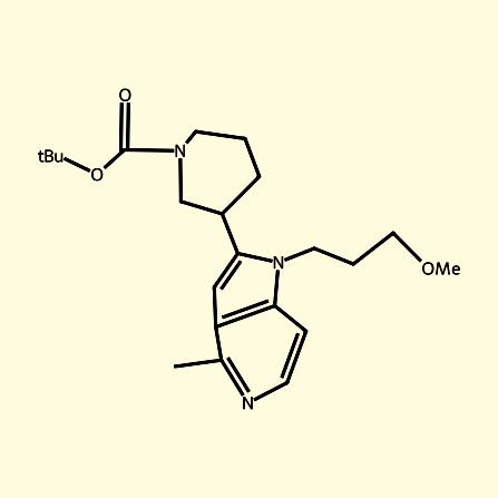 COCCCn1c(C2CCCN(C(=O)OC(C)(C)C)C2)cc2c(C)nccc21